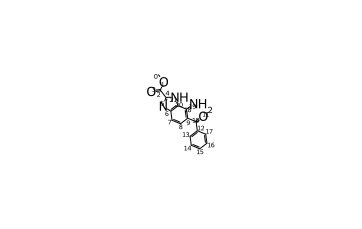 COC(=O)c1nc2ccc(C(=O)c3ccccc3)c(N)c2[nH]1